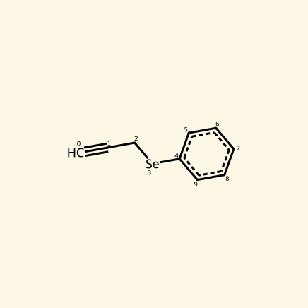 C#CC[Se]c1ccccc1